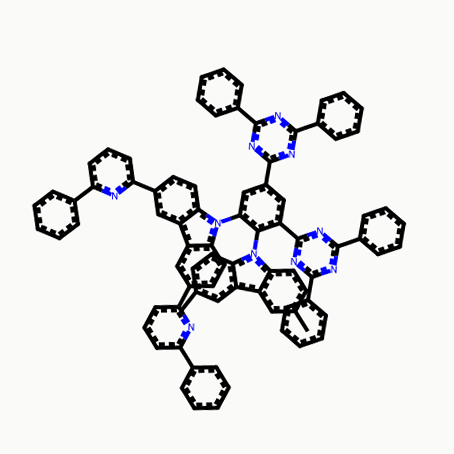 Cc1ccc2c(c1)c1cc(C)ccc1n2-c1c(-c2nc(-c3ccccc3)nc(-c3ccccc3)n2)cc(-c2nc(-c3ccccc3)nc(-c3ccccc3)n2)cc1-n1c2ccc(-c3cccc(-c4ccccc4)n3)cc2c2cc(-c3cccc(-c4ccccc4)n3)ccc21